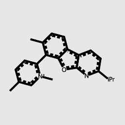 Cc1ccc(-c2c(C)ccc3c2oc2nc(C(C)C)ccc23)[n+](C)c1